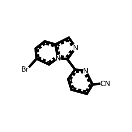 N#Cc1cccc(-c2ncc3ccc(Br)cn23)n1